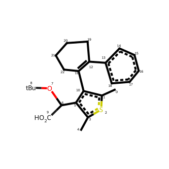 Cc1sc(C)c(C(OC(C)(C)C)C(=O)O)c1C1=C(c2ccccc2)CCCC1